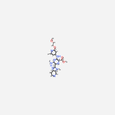 CNc1nc(Nc2cc(C)nc(OCCOC)c2)c(C(=O)OC)nc1-c1nc2ccncc2n1C